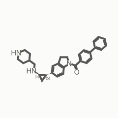 O=C(c1ccc(-c2ccccc2)cc1)N1CCc2cc([C@@H]3C[C@H]3NCC3CCNCC3)ccc21